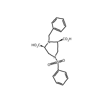 O=C(O)[C@H]1CN(S(=O)(=O)c2ccccc2)C[C@@H](C(=O)O)N1Cc1ccccc1